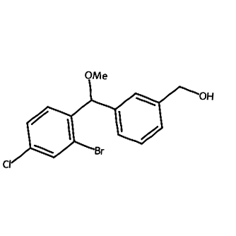 COC(c1cccc(CO)c1)c1ccc(Cl)cc1Br